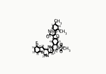 CNC(=O)c1c(-c2ccc(C)cc2C)oc2cc(N(C)S(C)(=O)=O)c(-c3ccc4ncn5c6cccc(F)c6cc5c4n3)cc12